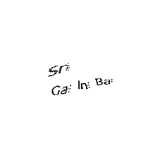 [Ba].[Ga].[In].[Sn]